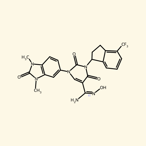 Cn1c(=O)n(C)c2cc(-n3cc(/C(N)=N\O)c(=O)n(C4CCc5c4cccc5C(F)(F)F)c3=O)ccc21